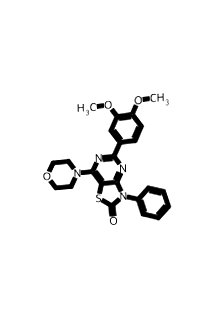 COc1ccc(-c2nc(N3CCOCC3)c3sc(=O)n(-c4ccccc4)c3n2)cc1OC